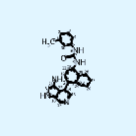 Cc1cccc(NC(=O)Nc2ccc(-c3cncc4[nH]nc(N)c34)c3ccccc23)c1